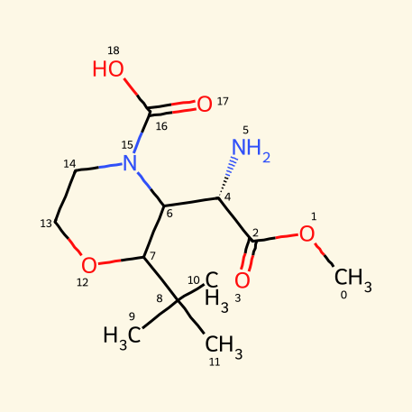 COC(=O)[C@@H](N)C1C(C(C)(C)C)OCCN1C(=O)O